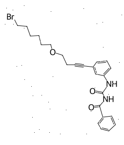 O=C(NC(=O)c1ccccc1)Nc1cccc(C#CCCOCCCCCCBr)c1